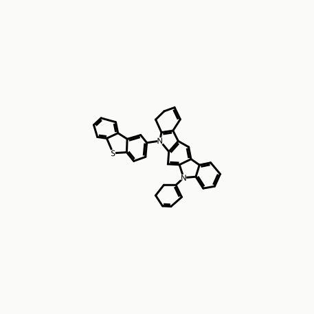 C1=CCCC(n2c3ccccc3c3cc4c5c(n(-c6ccc7sc8ccccc8c7c6)c4cc32)CCC=C5)=C1